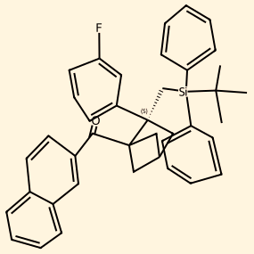 CC(C)(C)[Si](C[C@]1(c2cccc(F)c2)CC2CC1(C(=O)c1ccc3ccccc3c1)C2)(c1ccccc1)c1ccccc1